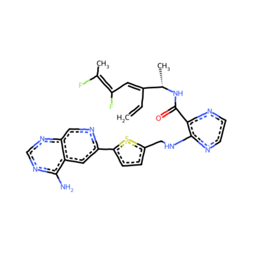 C=C/C(=C\C(F)=C(/C)F)[C@H](C)NC(=O)c1nccnc1NCc1ccc(-c2cc3c(N)ncnc3cn2)s1